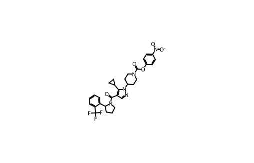 O=C(Oc1ccc([N+](=O)[O-])cc1)N1CCC(n2ncc(C(=O)N3CCCC3c3ccccc3C(F)(F)F)c2C2CC2)CC1